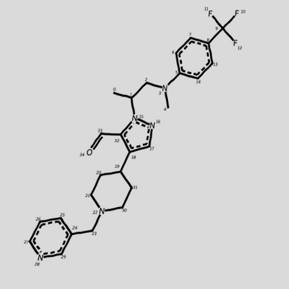 CC(CN(C)c1ccc(C(F)(F)F)cc1)n1ncc(C2CCN(Cc3cccnc3)CC2)c1C=O